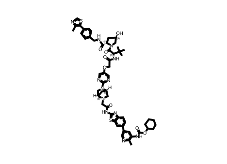 Cc1ncc(-c2ccc3nc(NC(=O)CN4C[C@H]5C[C@@H]4CN5c4ncc(OCC(=O)N[C@H](C(=O)N5C[C@H](O)C[C@H]5C(=O)NCc5ccc(-c6scnc6C)cc5)C(C)(C)C)cn4)sc3c2)cc1NC(=O)OC1CCCCC1